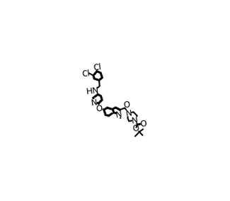 Cn1c(C(=O)N2CCN(C(=O)OC(C)(C)C)CC2)cc2cc(Oc3ccc(NCc4ccc(Cl)c(Cl)c4)cn3)ccc21